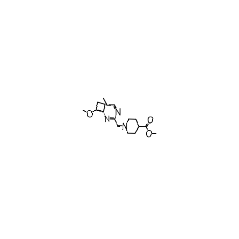 CC/C=N\C(CN1CCC(C(=O)OC)CC1)=N/[C@H]1CCC1OC